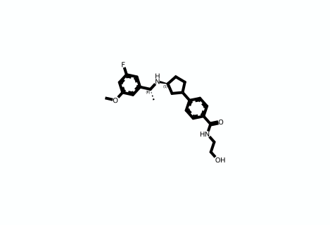 COc1cc(F)cc([C@@H](C)N[C@H]2CCC(c3ccc(C(=O)NCCO)cc3)C2)c1